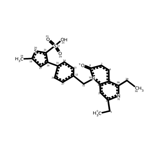 CCc1cc2c(ccc(=O)n2Cc2ccc(-c3cc(C)sc3S(=O)(=O)O)cc2)c(CC)n1